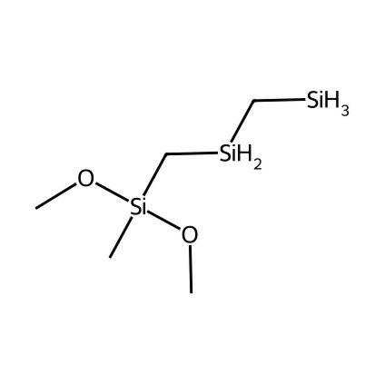 CO[Si](C)(C[SiH2]C[SiH3])OC